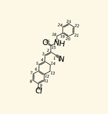 N#C/C(=C\C1=Cc2ccc(Cl)cc2CC1)C(=O)NCc1ccccc1